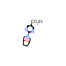 CCOC(=O)c1cnc(N2CC3CCC(C2)O3)nc1